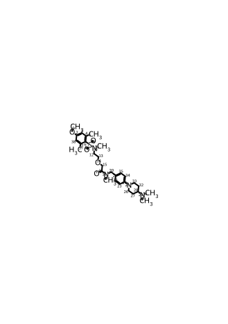 COc1cc(C)c(S(=O)(=O)N(C)CCOCC(=O)N(C)Cc2ccc(N3CCC(N(C)C)CC3)cc2)c(C)c1